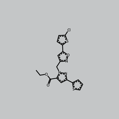 CCOC(=O)c1cc(-c2cccs2)nn1Cc1cc(-c2ccc(Cl)s2)on1